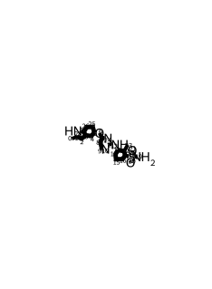 Cc1cc2cc(Oc3ccnc(Nc4cccc(S(N)(=O)=O)c4C)n3)ccc2[nH]1